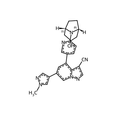 Cn1cc(-c2cc(-c3ccc(N4[C@@H]5CC[C@H]4CC(O)C5)nc3)c3c(C#N)cnn3c2)cn1